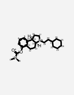 CN(C)C(=O)Oc1cccc2c1CC[C@H]1[C@H]2CCN1CCC1CCCCC1